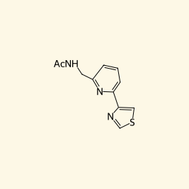 CC(=O)NCc1cccc(-c2cscn2)n1